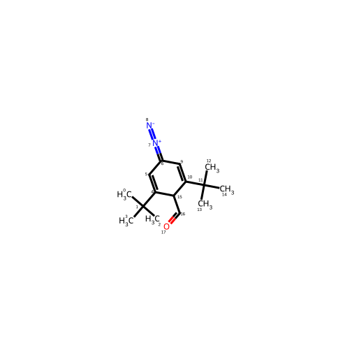 CC(C)(C)C1=CC(=[N+]=[N-])C=C(C(C)(C)C)C1C=O